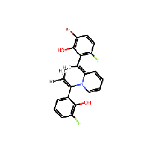 CC/C(C)=C(\c1cccc(F)c1O)N1C=CC=C/C1=C(/C)c1c(F)ccc(Br)c1O